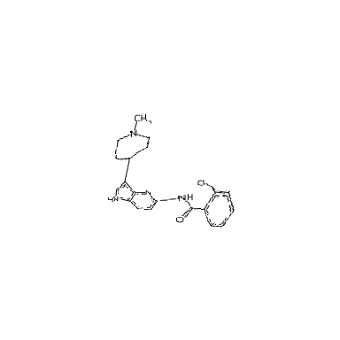 CN1CCC(c2c[nH]c3ccc(NC(=O)c4ccccc4Cl)nc23)CC1